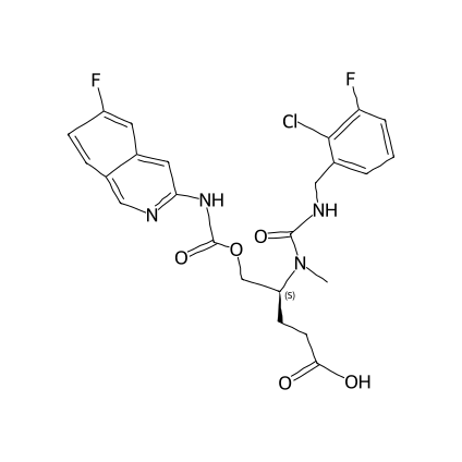 CN(C(=O)NCc1cccc(F)c1Cl)[C@@H](CCC(=O)O)COC(=O)Nc1cc2cc(F)ccc2cn1